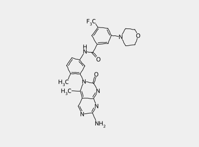 Cc1ccc(NC(=O)c2cc(N3CCOCC3)cc(C(F)(F)F)c2)cc1-n1c(C)c2cnc(N)nc2nc1=O